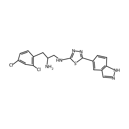 NC(CNc1nnc(-c2ccc3[nH]ncc3c2)s1)Cc1ccc(Cl)cc1Cl